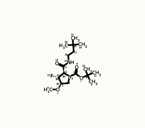 CO[C@@H]1CN(C(=O)OC(C)(C)C)[C@H](C(=O)NCCC(C)(C)C)[C@H]1F